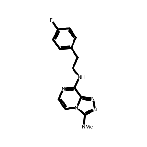 CNc1nnc2c(NCCc3ccc(F)cc3)nccn12